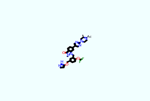 CC(=O)N1CCN(c2ncc(-c3ccc4c(=O)n(C)n(Cc5cc(COc6ccn[nH]6)ccc5OC(F)F)c4c3)cn2)C[C@H]1C